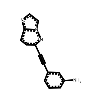 Nc1cccc(C#Cc2ccc3nccn3n2)c1